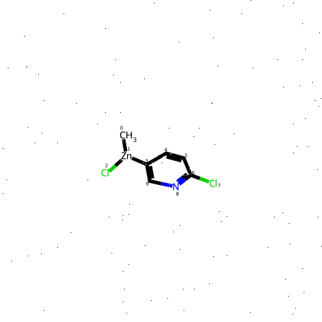 [CH3][Zn]([Cl])[c]1ccc(Cl)nc1